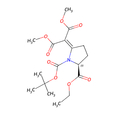 CCOC(=O)[C@@H]1CCC(=C(C(=O)OC)C(=O)OC)N1C(=O)OC(C)(C)C